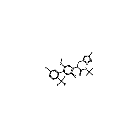 COc1cn(C(Cc2cc(C)no2)C(=O)OC(C)(C)C)c(=O)cc1-c1cc(Cl)ccc1C(F)(F)F